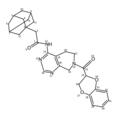 O=C(CC12CC3CC(CC(C3)C1)C2)Nc1ncnc2c1CCN(C(=O)C1COc3ccccc3O1)C2